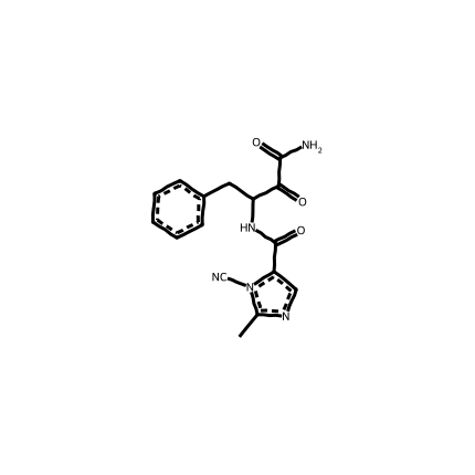 Cc1ncc(C(=O)NC(Cc2ccccc2)C(=O)C(N)=O)n1C#N